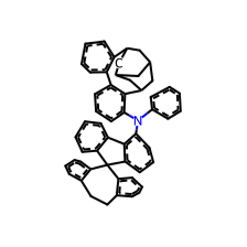 c1ccc(N(c2cccc3c2-c2ccccc2C32c3ccccc3CCc3ccccc32)c2cccc3c2C2CC4CC(CC(C4)c4ccccc4-3)C2)cc1